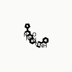 Nc1ncc(C2=CCC=C2)cc1C(=O)c1cccc(N2CCNC(c3ccccc3)C2)n1